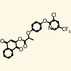 CC(Oc1ccc(Oc2ncc(C(F)(F)F)cc2Cl)cc1)C(=O)OC1=CC(=O)c2ccccc2C1=O